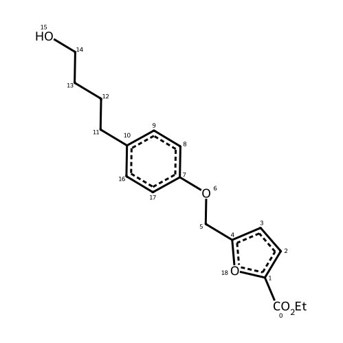 CCOC(=O)c1ccc(COc2ccc(CCCCO)cc2)o1